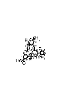 Cc1cccc(C)c1-c1cc(CCC(CC(C)C)NC2CC3(CC3)C2)nc(NS(=O)(=O)c2cccc(C(=O)O)c2)n1